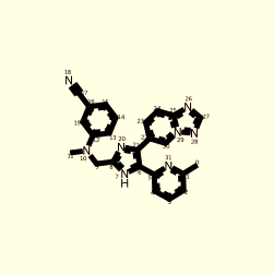 Cc1cccc(-c2[nH]c(CN(C)c3cccc(C#N)c3)nc2-c2ccc3ncnn3c2)n1